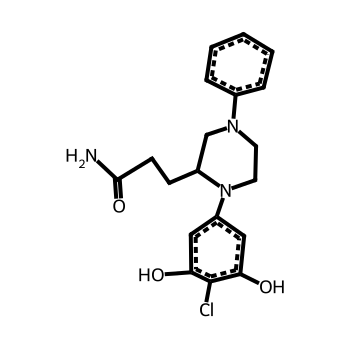 NC(=O)CCC1CN(c2ccccc2)CCN1c1cc(O)c(Cl)c(O)c1